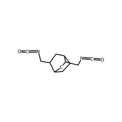 O=C=NCC1CC2CCC1CC2CN=C=O